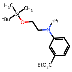 CCCN(CCO[Si](C)(C)C(C)(C)C)c1cccc(C(=O)OCC)c1